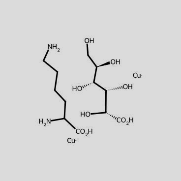 NCCCCC(N)C(=O)O.O=C(O)[C@H](O)[C@@H](O)[C@H](O)[C@H](O)CO.[Cu].[Cu]